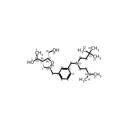 C[C@H](O)[C@H]1CN(Cc2cccc(CN(CCN(C)C)CCC(C)(C)C)c2)O[C@H]1CO